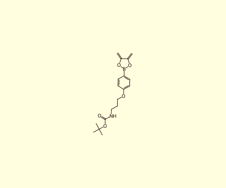 C=C1OB(c2ccc(OCCCNC(=O)OC(C)(C)C)cc2)OC1=C